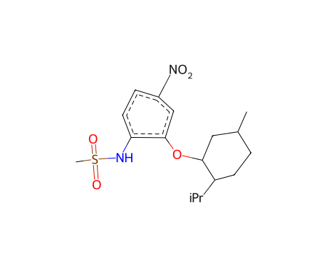 CC1CCC(C(C)C)C(Oc2cc([N+](=O)[O-])ccc2NS(C)(=O)=O)C1